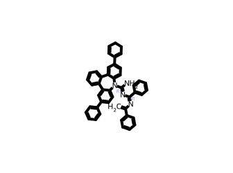 C=C(/N=C(\N=C(/N)N1c2ccc(C3=CCCC=C3)cc2-c2ccccc2-c2cc(-c3ccccc3)ccc21)c1ccccc1)c1ccccc1